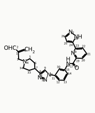 C=C(C=O)CN1CCC(c2cn(-c3cccc(NC(=O)c4cccc(-c5ccn[nH]5)n4)c3)nn2)CC1